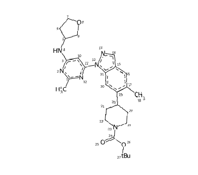 Cc1nc(NC2CCOC2)cc(-n2ncc3cc(C)c(C4CCN(C(=O)OC(C)(C)C)CC4)cc32)n1